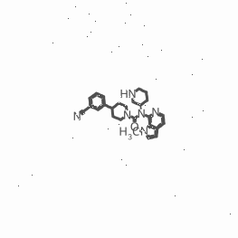 Cn1ccc2ccnc(N(C(=O)N3CCC(c4cccc(C#N)c4)CC3)[C@@H]3CCCNC3)c21